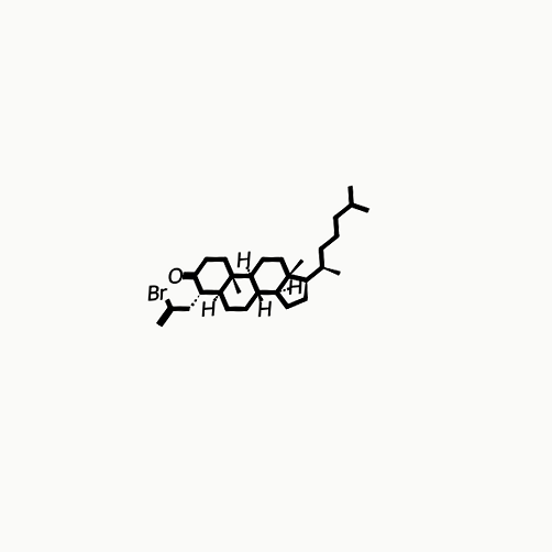 C=C(Br)C[C@@H]1C(=O)CC[C@]2(C)[C@H]3CC[C@]4(C)[C@@H]([C@H](C)CCCC(C)C)CC[C@H]4[C@@H]3CC[C@@H]12